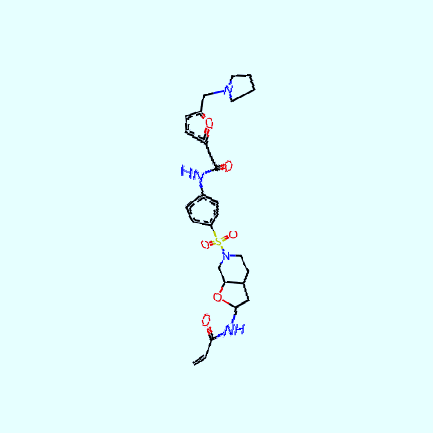 C=CC(=O)NC1CC2CCN(S(=O)(=O)c3ccc(NC(=O)c4ccc(CN5CCCC5)o4)cc3)CC2O1